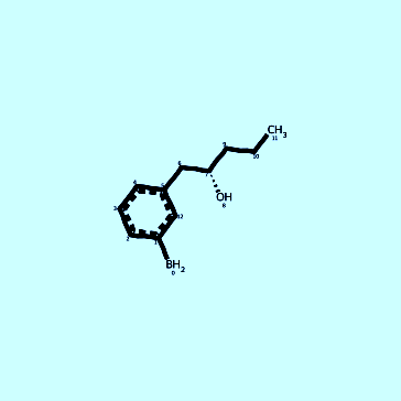 Bc1cccc(C[C@@H](O)CCC)c1